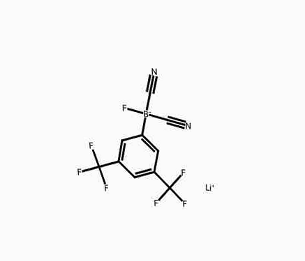 N#C[B-](F)(C#N)c1cc(C(F)(F)F)cc(C(F)(F)F)c1.[Li+]